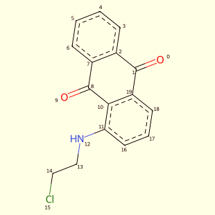 O=C1c2ccccc2C(=O)c2c(NCCCl)cccc21